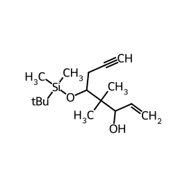 C#CCC(O[Si](C)(C)C(C)(C)C)C(C)(C)C(O)C=C